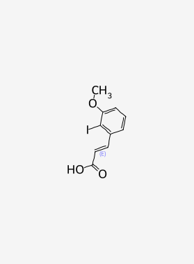 COc1cccc(/C=C/C(=O)O)c1I